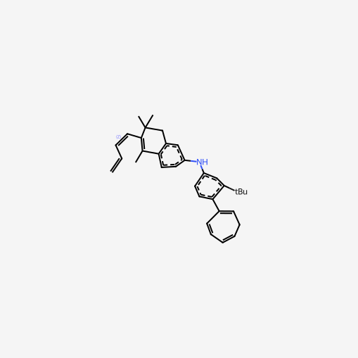 C=C/C=C\C1=C(C)c2ccc(Nc3ccc(C4=CCC=CC=C4)c(C(C)(C)C)c3)cc2CC1(C)C